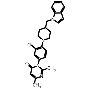 Cc1cc(=O)n(-c2ccc(N3CCC(Cn4ccc5ccccc54)CC3)c(Cl)c2)c(C)n1